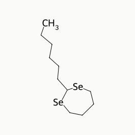 CCCCCCC1[Se]CCCC[Se]1